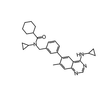 Cc1cc2ncnc(NC3CC3)c2cc1-c1cccc(CN(C(=O)C2CCCCC2)C2CC2)c1